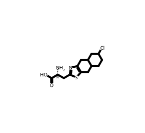 N[C@H](Cc1nc2c(s1)CC1CCC(Cl)CC1C2)C(=O)O